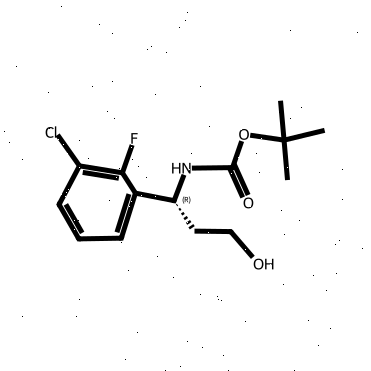 CC(C)(C)OC(=O)N[C@H](CCO)c1cccc(Cl)c1F